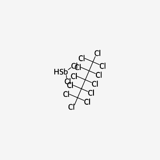 ClC(Cl)(Cl)C(Cl)(Cl)C(Cl)(Cl)C(Cl)(Cl)C(Cl)(Cl)Cl.[Cl][SbH][Cl]